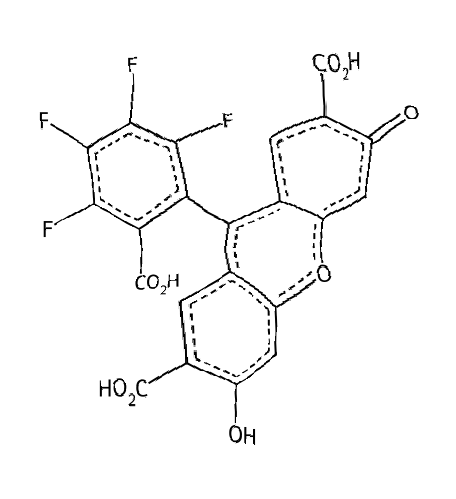 O=C(O)c1cc2c(-c3c(F)c(F)c(F)c(F)c3C(=O)O)c3cc(C(=O)O)c(=O)cc-3oc2cc1O